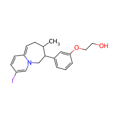 CC1CC=C2C=CC(I)=CN2CC1c1cccc(OCCO)c1